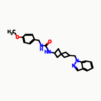 COc1ccc(CNC(=O)NC2CC3(CC(Cn4ncc5ccccc54)C3)C2)cc1